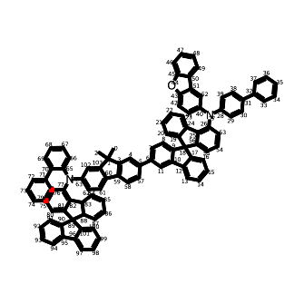 CC1(C)c2cc(-c3ccc4c(c3)-c3ccccc3C43c4ccccc4-c4c(N(c5ccc(-c6ccccc6)cc5)c5ccc6oc7ccccc7c6c5)cccc43)ccc2-c2ccc(N(c3ccccc3-c3ccccc3)c3cccc4c3C3C=CC=CC3C43c4ccccc4-c4ccccc43)cc21